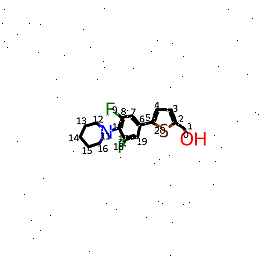 OCc1ccc(-c2cc(F)c(N3CCCCC3)c(F)c2)s1